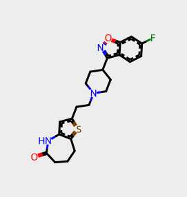 O=C1CCCc2sc(CCN3CCC(c4noc5cc(F)ccc45)CC3)cc2N1